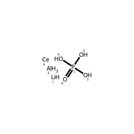 O=P(O)(O)O.[AlH3].[Ce].[LiH]